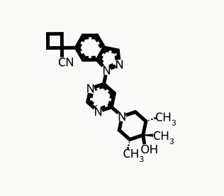 C[C@@H]1CN(c2cc(-n3ncc4ccc(C5(C#N)CCC5)cc43)ncn2)C[C@H](C)[C@]1(C)O